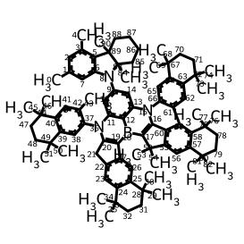 Cc1cc(C)c2c(c1)N(c1cc3c4c(c1)N1C5=C(B4C4=C(Cc6cc7c(cc64)C(C)(C)CCC7(C)C)N3c3cc4c(cc3C)C(C)(C)CCC4(C)C)C(C)(C)c3cc4c(c(c35)-c3cc5c(cc31)C(C)(C)CCC5(C)C)C(C)(C)CCC4(C)C)C1(C)CCCCC21C